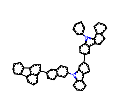 c1ccc(-n2c3ccc(-c4ccc5c6ccccc6n(-c6ccc7cc(-c8ccc9c%10c(cccc8%10)-c8ccccc8-9)ccc7c6)c5c4)cc3c3ccc4ccccc4c32)cc1